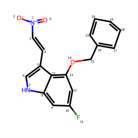 O=[N+]([O-])/C=C/c1c[nH]c2cc(F)cc(OCc3ccccc3)c12